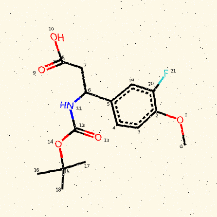 COc1ccc(C(CC(=O)O)NC(=O)OC(C)(C)C)cc1F